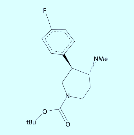 CN[C@@H]1CCN(C(=O)OC(C)(C)C)C[C@H]1c1ccc(F)cc1